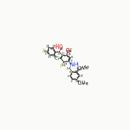 COc1ccc(CNc2cc(Br)c(C(O)c3ccc(F)cc3Cl)cc2F)c(OC)c1